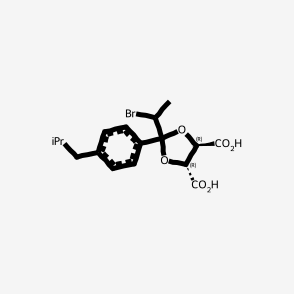 CC(C)Cc1ccc(C2(C(C)Br)O[C@@H](C(=O)O)[C@H](C(=O)O)O2)cc1